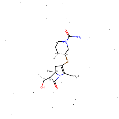 C[C@@H]1CCN(C(N)=O)C[C@H]1SC1=C(C(=O)O)N2C(=O)[C@H]([C@@H](C)O)[C@H]2C1